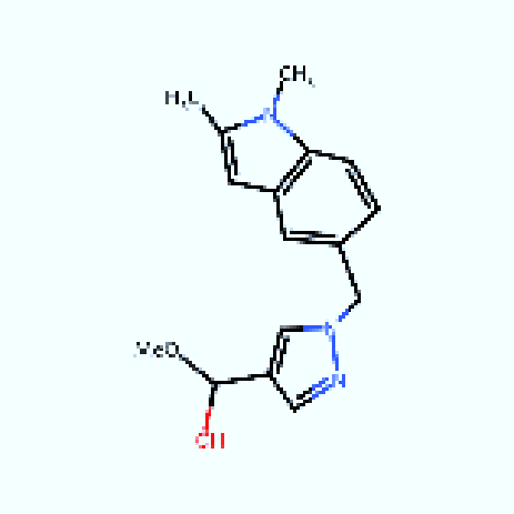 COC(O)c1cnn(Cc2ccc3c(c2)cc(C)n3C)c1